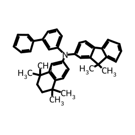 CC1(C)CCC(C)(C)c2cc(N(c3cccc(-c4ccccc4)c3)c3ccc4c(c3)C(C)(C)c3ccccc3-4)ccc21